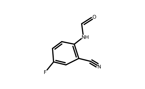 N#Cc1cc(F)ccc1NC=O